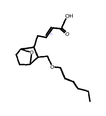 CCCCCCOCC1C2CCC(O2)C1C/C=C/C(=O)O